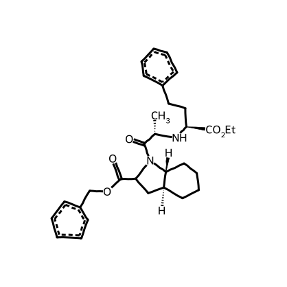 CCOC(=O)[C@H](CCc1ccccc1)N[C@@H](C)C(=O)N1C(C(=O)OCc2ccccc2)C[C@@H]2CCCC[C@H]21